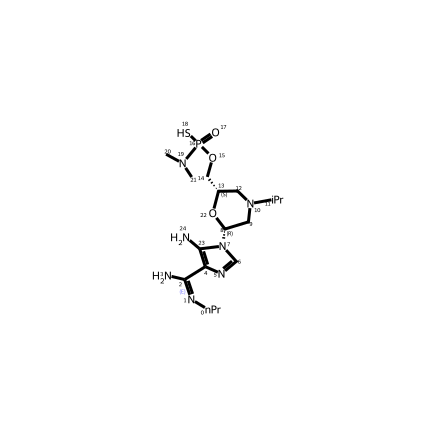 CCC/N=C(/N)c1ncn([C@H]2CN(C(C)C)C[C@@H](COP(=O)(S)N(C)C)O2)c1N